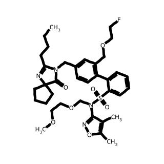 CCCCC1=NC2(CCCC2)C(=O)N1Cc1ccc(-c2ccccc2S(=O)(=O)N(COCCOC)c2noc(C)c2C)c(COCCF)c1